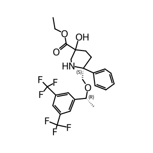 CCOC(=O)C1(O)CC[C@@](CO[C@H](C)c2cc(C(F)(F)F)cc(C(F)(F)F)c2)(c2ccccc2)NC1